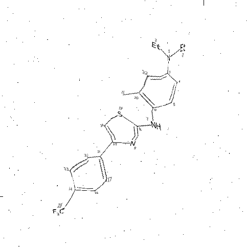 CCN(CC)c1ccc(Nc2nc(-c3ccc(C(F)(F)F)cc3)cs2)c(C)c1